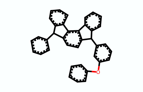 c1ccc(Oc2cccc(C3c4ccccc4-c4c3ccc3c4-c4ccccc4C3c3ccccc3)c2)cc1